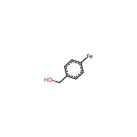 OCc1cc[c]([Fe])cc1